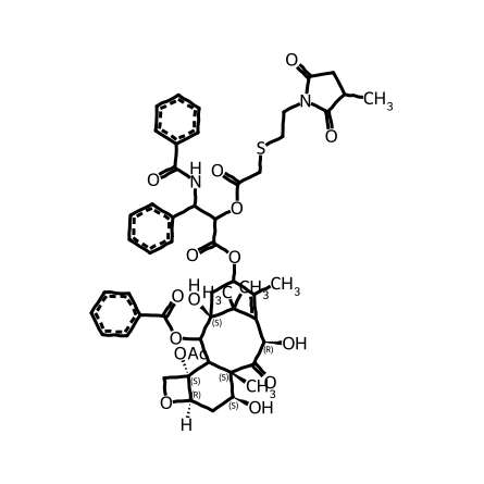 CC(=O)O[C@@]12CO[C@@H]1C[C@H](O)[C@@]1(C)C(=O)[C@H](O)C3=C(C)C(OC(=O)C(OC(=O)CSCCN4C(=O)CC(C)C4=O)C(NC(=O)c4ccccc4)c4ccccc4)C[C@@](O)(C(OC(=O)c4ccccc4)C12)C3(C)C